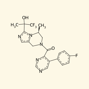 C[C@H]1CN(C(=O)c2ncncc2-c2ccc(F)cc2)Cc2cnc(C(C)(O)C(F)(F)F)n21